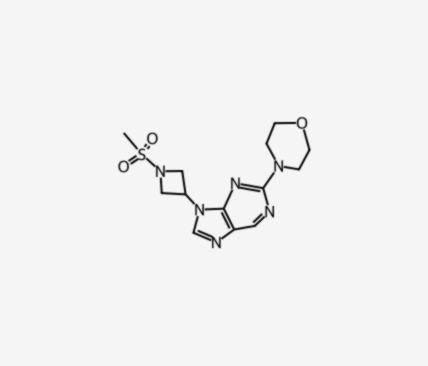 CS(=O)(=O)N1CC(n2cnc3cnc(N4CCOCC4)nc32)C1